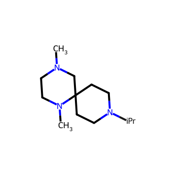 CC(C)N1CCC2(CC1)CN(C)CCN2C